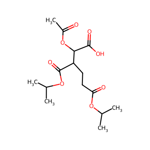 CC(=O)OC(C(=O)O)C(CCC(=O)OC(C)C)C(=O)OC(C)C